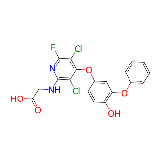 O=C(O)CNc1nc(F)c(Cl)c(Oc2ccc(O)c(Oc3ccccc3)c2)c1Cl